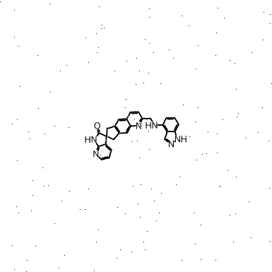 O=C1Nc2ncccc2C12Cc1cc3ccc(CNc4cccc5[nH]ncc45)nc3cc1C2